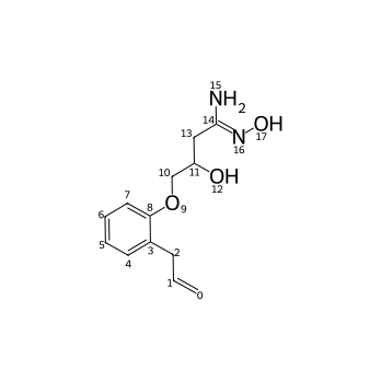 C=CCc1ccccc1OCC(O)CC(N)=NO